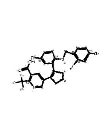 O=C(O)c1cc(C2=C(c3cc(Cl)ccc3OCc3ccc(Cl)cc3F)CCC2)cnc1C(F)(F)F